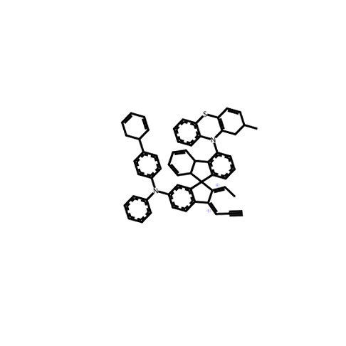 C#C/C=C1\C(=C/C)C2(c3cc(N(c4ccccc4)c4ccc(C5C=CC=CC5)cc4)ccc31)c1cccc(N3C4=C(C=CC(C)C4)Sc4ccccc43)c1C1C=CC=CC12